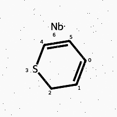 C1=CCSC=C1.[Nb]